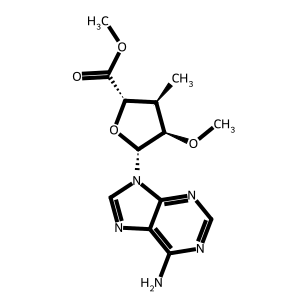 COC(=O)[C@H]1O[C@@H](n2cnc3c(N)ncnc32)[C@H](OC)[C@@H]1C